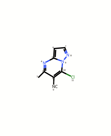 [C-]#[N+]c1c(C)nc2ccnn2c1Cl